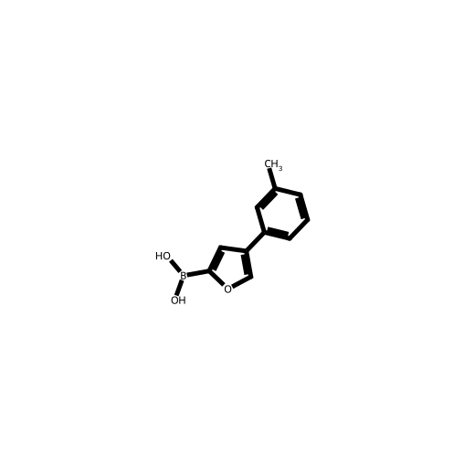 Cc1cccc(-c2coc(B(O)O)c2)c1